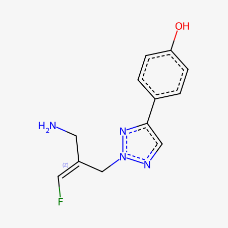 NC/C(=C/F)Cn1ncc(-c2ccc(O)cc2)n1